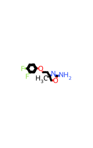 C[C@]1(CCOc2ccc(F)c(F)c2)COC(N)=N1